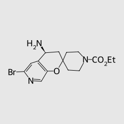 CCOC(=O)N1CCC2(CC1)C[C@H](N)c1cc(Br)ncc1O2